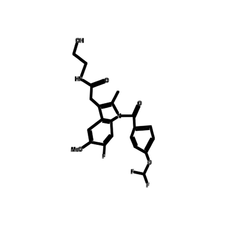 COc1cc2c(CC(=O)NCCO)c(C)n(C(=O)c3ccc(OC(F)F)cc3)c2cc1F